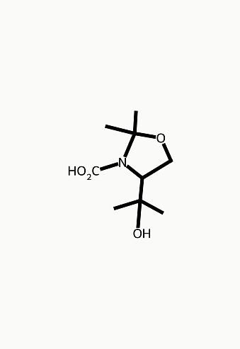 CC(C)(O)C1COC(C)(C)N1C(=O)O